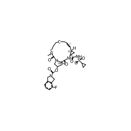 CN1CCCCC/C=C\[C@@H]2C[C@@]2(C(=O)NS(=O)(=O)C2CC2)NC(=O)[C@@H]2CC(OC(=O)N3Cc4cccc(F)c4C3)CN2C1=O